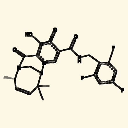 C[C@H]1C=CC(C)(C)N2CN1C(=O)c1c(O)c(=O)c(C(=O)NCc3c(F)cc(F)cc3F)cn12